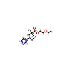 CCOCCOC(=O)C(C)(C)CC(CC)n1ccnc1